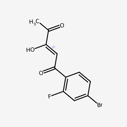 CC(=O)/C(O)=C/C(=O)c1ccc(Br)cc1F